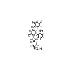 CC(C)c1ccccc1C1CN(Cc2ccc(F)cc2F)CC(=O)N1C1CC2(CCN(C(=O)O)CC2)C1